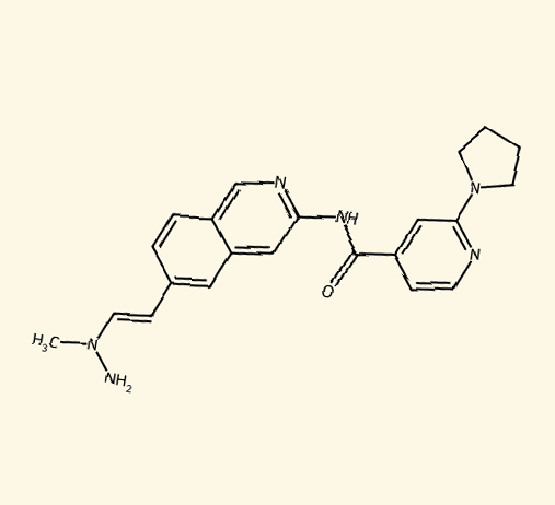 CN(N)/C=C/c1ccc2cnc(NC(=O)c3ccnc(N4CCCC4)c3)cc2c1